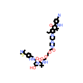 CCc1cc2c(cc1N1CCC(N3CCN(C(=O)COCCOCC(=O)NC(C(=O)N4C[C@H](O)C[C@H]4C(=O)NCc4ccc(-c5scnc5C)cc4)C(C)(C)C)CC3)CC1)C(C)(C)c1[nH]c3cc(C#N)ccc3c1C2=O